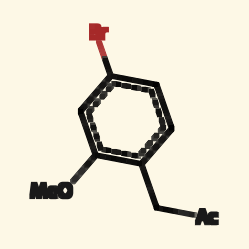 COc1cc(Br)ccc1CC(C)=O